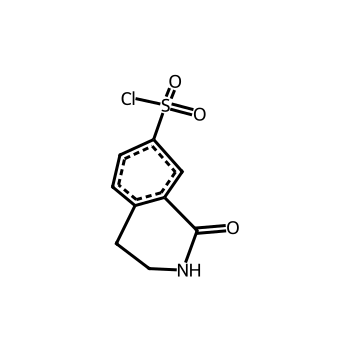 O=C1NCCc2ccc(S(=O)(=O)Cl)cc21